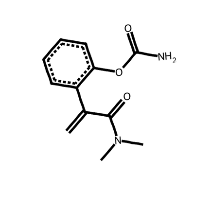 C=C(C(=O)N(C)C)c1ccccc1OC(N)=O